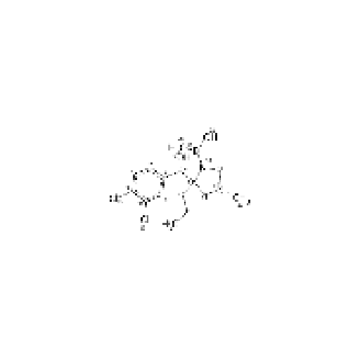 CCCC1(C(O)c2ccc(Cl)c(Cl)c2)C[C@@H](C)CN1B(C)O